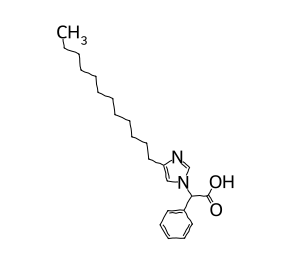 CCCCCCCCCCCCc1cn(C(C(=O)O)c2ccccc2)cn1